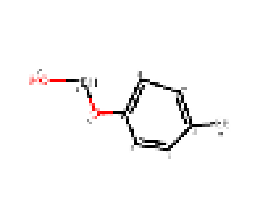 CCc1ccc(OBO)cc1